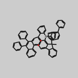 CC1(c2ccccc2)c2ccccc2-c2cccc(N(c3cccc(-c4ccccc4)c3)c3ccccc3-c3ccc4c(c3)c(-c3ccccc3)c(-c3ccccc3)c3ccccc34)c21